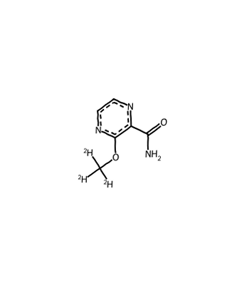 [2H]C([2H])([2H])Oc1nccnc1C(N)=O